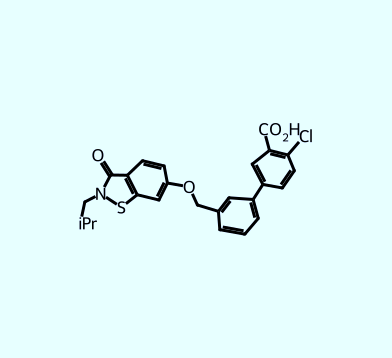 CC(C)Cn1sc2cc(OCc3cccc(-c4ccc(Cl)c(C(=O)O)c4)c3)ccc2c1=O